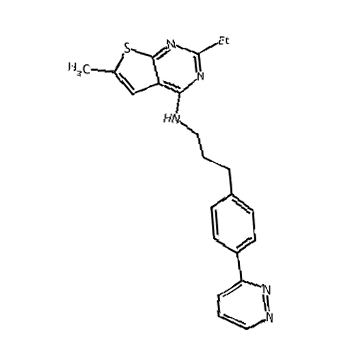 CCc1nc(NCCCc2ccc(-c3cccnn3)cc2)c2cc(C)sc2n1